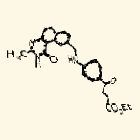 CCOC(=O)CCC(=O)c1ccc(NCc2ccc3ccc4nc(C)[nH]c(=O)c4c3c2)cc1